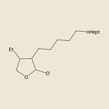 CCCCCCCCCCCCC1C(CC)COC1Cl